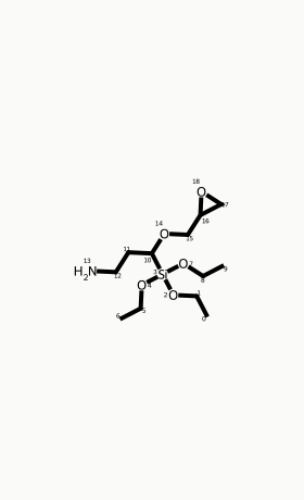 CCO[Si](OCC)(OCC)C(CCN)OCC1CO1